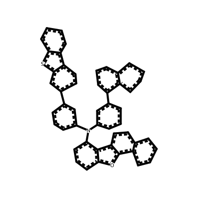 c1cc(-c2ccc3c(c2)sc2ccccc23)cc(N(c2cccc(-c3cccc4ccccc34)c2)c2cccc3oc4c5ccccc5ccc4c23)c1